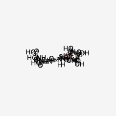 O=C(O)CCC(NC(=O)NC(CCCCNC(=O)CCCCNC(=S)Nc1ccc(CC2CN(CC(=O)O)CCN(CC(=O)O)CCN(CC(=O)O)CCN2CC(=O)O)cc1)C(=O)O)C(=O)O